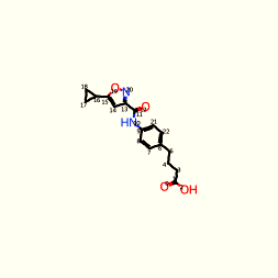 O=C(O)CCCc1ccc(NC(=O)c2cc(C3CC3)on2)cc1